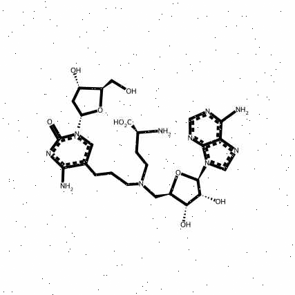 Nc1nc(=O)n([C@@H]2C[C@H](O)[C@@H](CO)O2)cc1CCCN(CC[C@H](N)C(=O)O)C[C@H]1O[C@@H](n2cnc3c(N)ncnc32)[C@H](O)[C@@H]1O